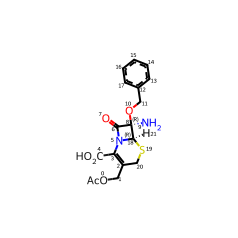 CC(=O)OCC1=C(C(=O)O)N2C(=O)[C@@](N)(OCc3ccccc3)[C@H]2SC1